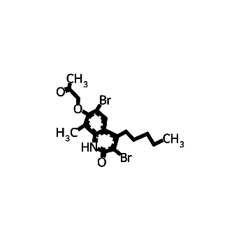 CCCCCc1c(Br)c(=O)[nH]c2c(C)c(OCC(C)=O)c(Br)cc12